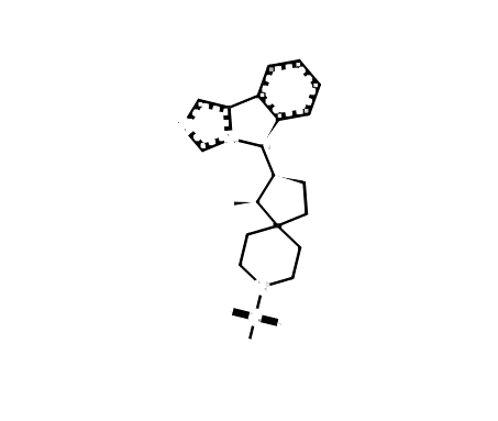 CS(=O)(=O)N1CCC2(CC[C@H]([C@@H]3c4ccccc4-c4cncn43)[C@@H]2O)CC1